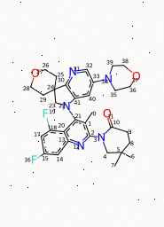 Cc1c(N2CC(C)(C)CCC2=O)nc2cc(F)cc(F)c2c1N1CC2(CCOCC2)c2ncc(N3CCOCC3)cc21